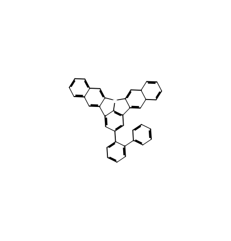 C1=CC2C=c3c(n4c5cc6ccccc6cc5c5cc(-c6ccccc6-c6ccccc6)cc3c54)=CC2C=C1